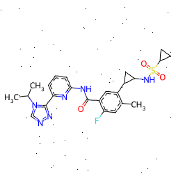 Cc1cc(F)c(C(=O)Nc2cccc(-c3nncn3C(C)C)n2)cc1C1CC1NS(=O)(=O)C1CC1